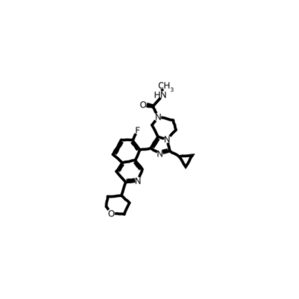 CNC(=O)N1CCn2c(C3CC3)nc(-c3c(F)ccc4cc(C5CCOCC5)ncc34)c2C1